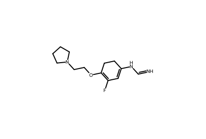 N=CNC1=CC(F)=C(OCCN2CCCC2)CC1